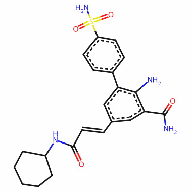 NC(=O)c1cc(/C=C/C(=O)NC2CCCCC2)cc(-c2ccc(S(N)(=O)=O)cc2)c1N